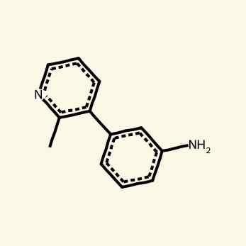 Cc1ncccc1-c1cccc(N)c1